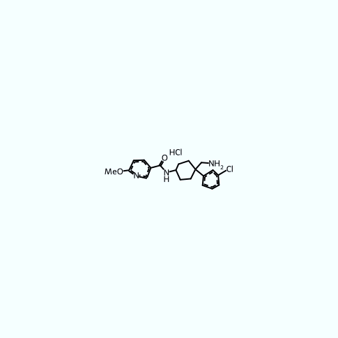 COc1ccc(C(=O)NC2CCC(CN)(c3cccc(Cl)c3)CC2)cn1.Cl